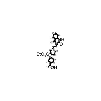 CCOC(=O)[C@@H]1CN(CCn2c(=O)[nH]c3ccccc3c2=O)CC[C@@H]1c1ccc(C(C)O)cc1